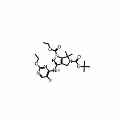 CCOC(=O)n1nc(Nc2nc(OCC)ncc2F)c2c1C(C)(C)N(C(=O)OC(C)(C)C)C2